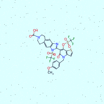 COc1ccc(Cn2c(=O)c(-c3nc4cc5c(cc4n3S(=O)(=O)C(F)(F)F)CCN(C(=O)O)CC5)c(OS(=O)(=O)C(F)(F)F)c3sccc32)cc1